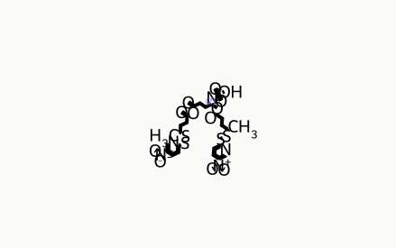 CC(CCC(=O)OC(=O)CC/C(=N/S(=O)(=O)O)OC(=O)CCC(C)SSc1ccc([N+](=O)[O-])cn1)SSc1ccc([N+](=O)[O-])cn1